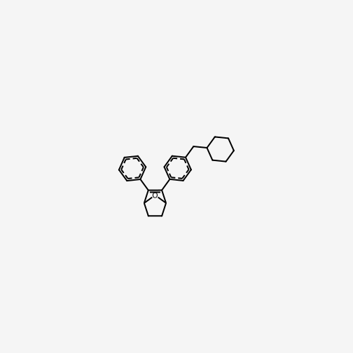 c1ccc(C2=C(c3ccc(CC4CCCCC4)cc3)C3CCC2O3)cc1